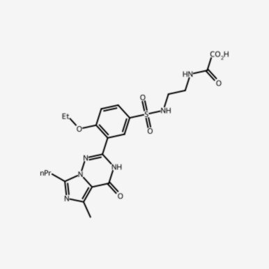 CCCc1nc(C)c2c(=O)[nH]c(-c3cc(S(=O)(=O)NCCNC(=O)C(=O)O)ccc3OCC)nn12